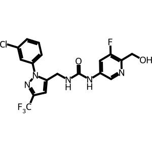 O=C(NCc1cc(C(F)(F)F)nn1-c1cccc(Cl)c1)Nc1cnc(CO)c(F)c1